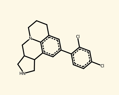 Clc1ccc(-c2cc3c4c(c2)C2CNCC2CN4CCC3)c(Cl)c1